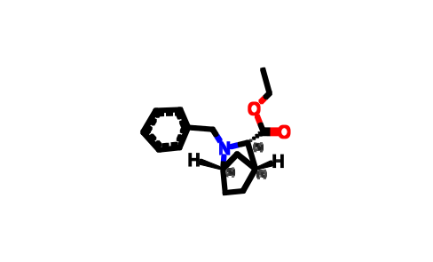 CCOC(=O)[C@@H]1[C@@H]2CC[C@@H](C2)N1Cc1ccccc1